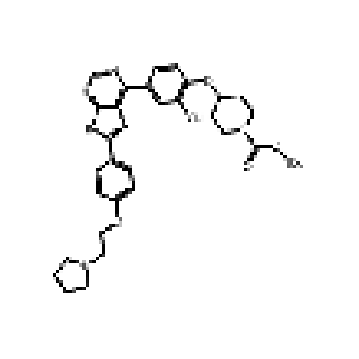 CC(C)(C)OC(=O)N1CCC(Oc2ccc(-c3ncnc4[nH]c(-c5ccc(OCCN6CCCC6)cc5)nc34)cc2C#N)CC1